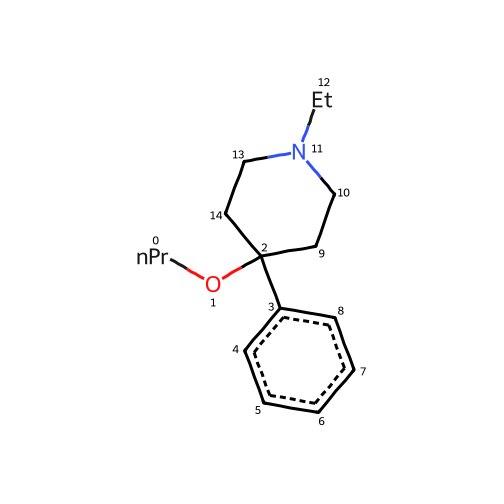 CCCOC1(c2ccccc2)CCN(CC)CC1